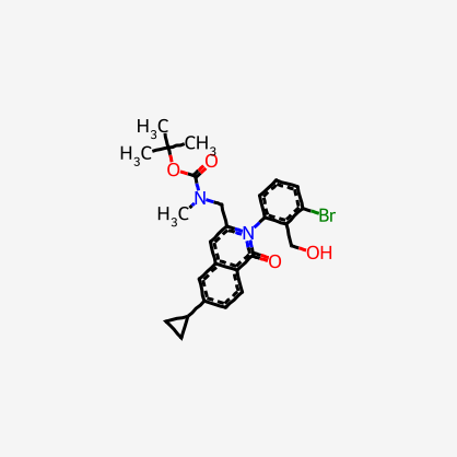 CN(Cc1cc2cc(C3CC3)ccc2c(=O)n1-c1cccc(Br)c1CO)C(=O)OC(C)(C)C